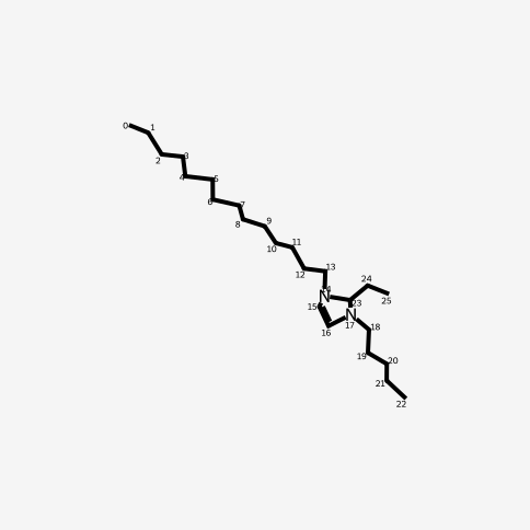 CCCCCCCCCCCCCCN1C=CN(CCCCC)C1CC